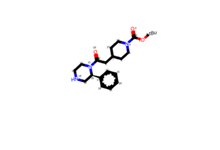 CC(C)(C)OC(=O)N1CCC(CC(=O)N2CCNC[C@@H]2c2ccccc2)CC1